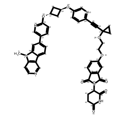 Cn1c2ccncc2c2ccc(-c3ccc(O[C@H]4C[C@H](Oc5ccc(C#CC6(OCCOc7ccc8c(c7)C(=O)N(C7CCC(=O)NC7=O)C8=O)CC6)nc5)C4)nc3)cc21